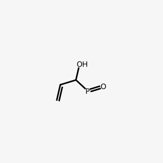 C=CC(O)P=O